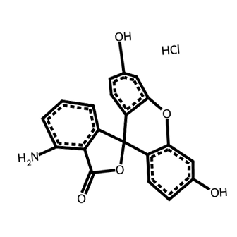 Cl.Nc1cccc2c1C(=O)OC21c2ccc(O)cc2Oc2cc(O)ccc21